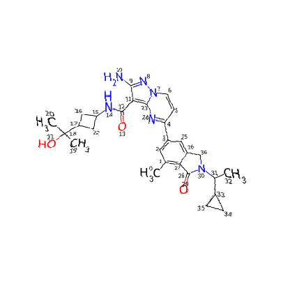 Cc1cc(-c2ccn3nc(N)c(C(=O)NC4CC(C(C)(C)O)C4)c3n2)cc2c1C(=O)N(C(C)C1CC1)C2